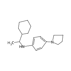 CC(Nc1ccc(N2CCCC2)cc1)C1CCCCC1